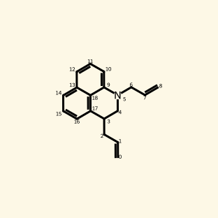 C=CCC1CN(CC=C)c2cccc3cccc1c23